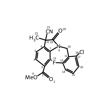 COC(=O)c1ccc2c(c1)N(Cc1c(F)cccc1Cl)C(=O)C2(C)C#N